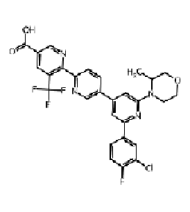 CC1COCCN1c1cc(-c2ccc(-c3ncc(C(=O)O)cc3C(F)(F)F)nc2)cc(-c2ccc(F)c(Cl)c2)n1